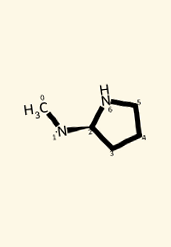 C[N][C@@H]1CCCN1